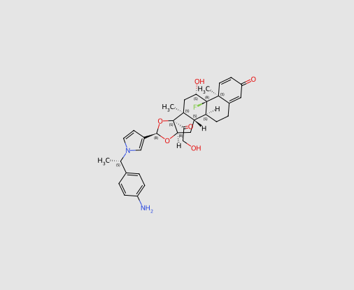 C[C@@H](c1ccc(N)cc1)n1ccc([C@@H]2O[C@@H]3C[C@H]4[C@@H]5CCC6=CC(=O)C=C[C@]6(C)[C@@]5(F)[C@@H](O)C[C@]4(C)[C@]3(C(=O)CO)O2)c1